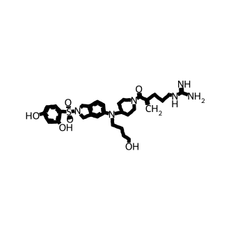 C=C(CCCNC(=N)N)C(=O)N1CCC(N(CCCCO)c2ccc3c(c2)CN(S(=O)(=O)c2ccc(O)cc2O)C3)CC1